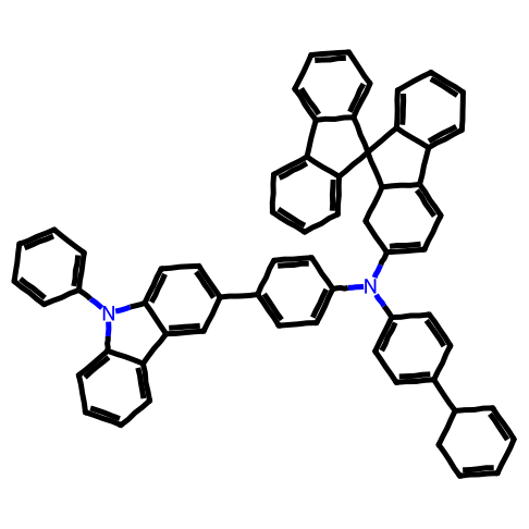 C1=CCC(c2ccc(N(C3=CC=C4c5ccccc5C5(c6ccccc6-c6ccccc65)C4C3)c3ccc(-c4ccc5c(c4)c4ccccc4n5-c4ccccc4)cc3)cc2)C=C1